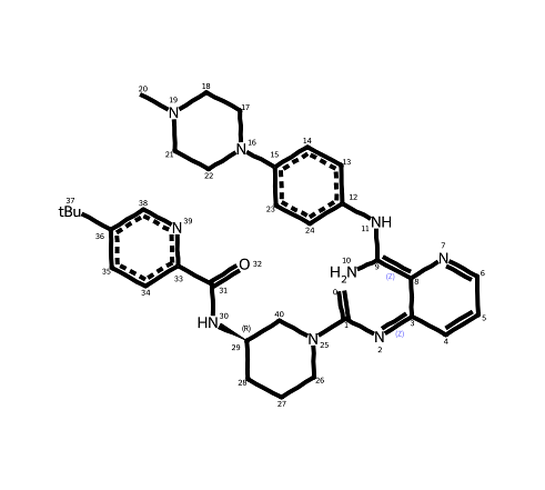 C=C(/N=C1/C=CC=N/C1=C(/N)Nc1ccc(N2CCN(C)CC2)cc1)N1CCC[C@@H](NC(=O)c2ccc(C(C)(C)C)cn2)C1